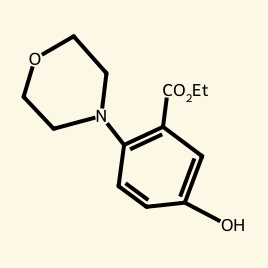 CCOC(=O)c1cc(O)ccc1N1CCOCC1